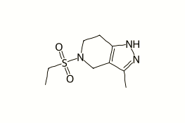 CCS(=O)(=O)N1CCc2[nH]nc(C)c2C1